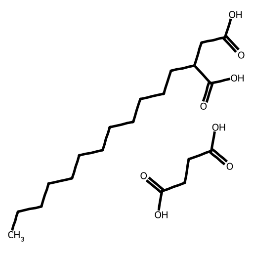 CCCCCCCCCCCCC(CC(=O)O)C(=O)O.O=C(O)CCC(=O)O